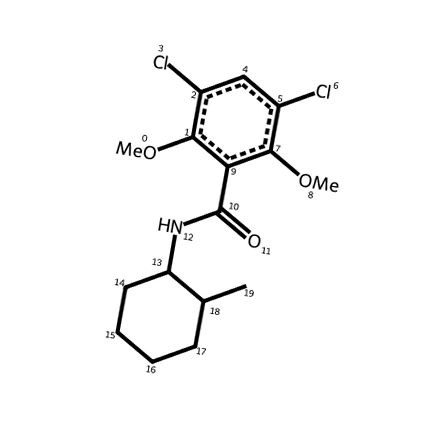 COc1c(Cl)cc(Cl)c(OC)c1C(=O)NC1CCCCC1C